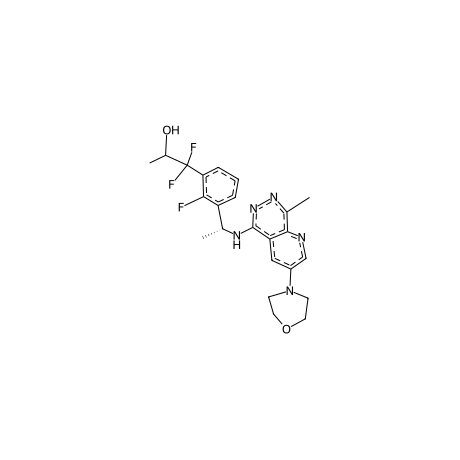 Cc1nnc(N[C@H](C)c2cccc(C(F)(F)C(C)O)c2F)c2cc(N3CCOCC3)cnc12